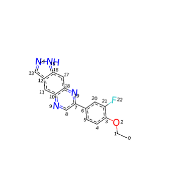 CCOc1ccc(-c2cnc3cc4cn[nH]c4cc3n2)cc1F